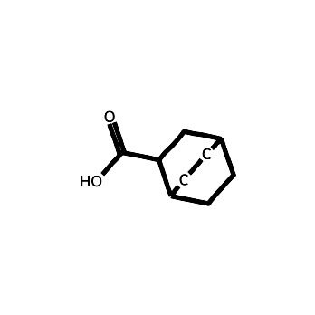 O=C(O)C1CC2CCC1CC2